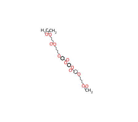 C=CC(=O)OCCCCCCOC1=CC=C(C(=O)Oc2ccc(OC(=O)c3ccc(OCCCCCCOC(=O)CCCCOC(=O)C(=C)C)cc3)cc2)CC1